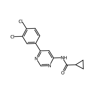 O=C(Nc1cc(-c2ccc(Cl)c(Cl)c2)ncn1)C1CC1